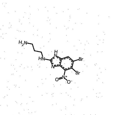 NCCCNc1nc2c([N+](=O)[O-])c(Br)c(Br)cc2[nH]1